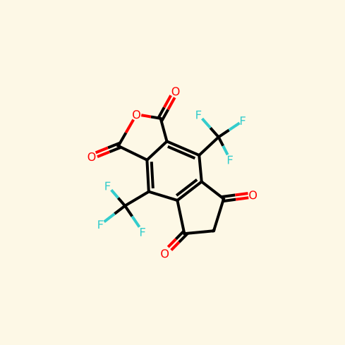 O=C1CC(=O)c2c1c(C(F)(F)F)c1c(c2C(F)(F)F)C(=O)OC1=O